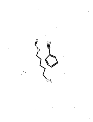 C#Cc1ccccc1.CCCCCCOC=O